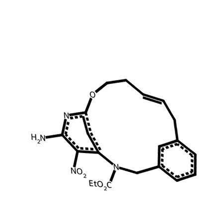 CCOC(=O)N1Cc2cccc(c2)C/C=C/CCOc2cc1c([N+](=O)[O-])c(N)n2